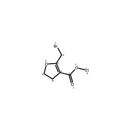 CCOC(=O)C1=C(CBr)OCC1